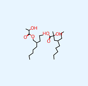 CCCCCC(CCC)CC(C)(O)C(=O)O.CCCCCC(CCC)COC(=O)C(C)O